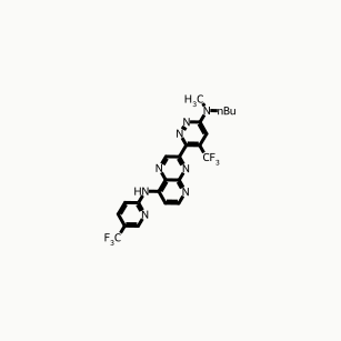 CCCCN(C)c1cc(C(F)(F)F)c(-c2cnc3c(Nc4ccc(C(F)(F)F)cn4)ccnc3n2)nn1